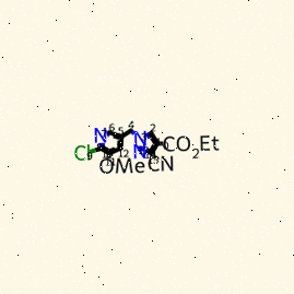 CCOC(=O)c1cn(Cc2cnc(Cl)c(OC)c2)nc1C#N